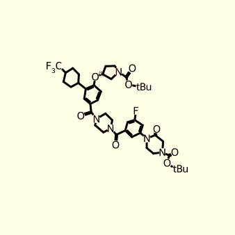 CC(C)(C)OC(=O)N1CCN(c2cc(F)cc(C(=O)N3CCN(C(=O)c4ccc(O[C@H]5CCN(C(=O)OC(C)(C)C)C5)c(C5CCC(C(F)(F)F)CC5)c4)CC3)c2)C(=O)C1